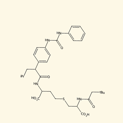 CC(C)CC(C(=O)NC(CCSCC(NC(=O)CC(C)(C)C)C(=O)O)C(=O)O)c1ccc(NC(=O)Nc2ccccc2)cc1